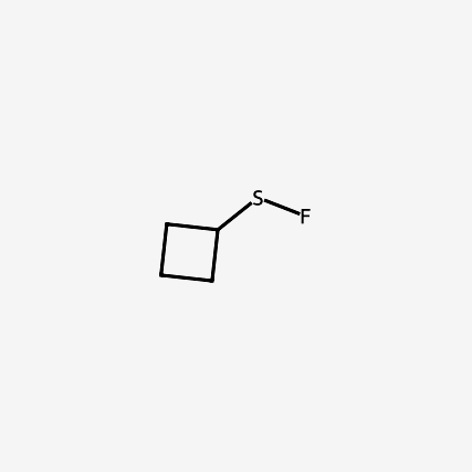 FSC1CCC1